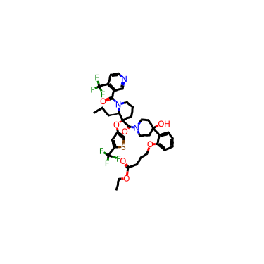 CCC[C@H]1N(C(=O)c2cnccc2C(F)(F)F)CCC[C@]1(Oc1csc(C(F)(F)F)c1)C(=O)N1CCC(O)(c2ccccc2OCCCC(=O)OCC)CC1